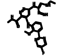 CCN/C=C(\N=N)Nc1cc(Nc2cccc(-c3ncc(F)cn3)c2OC)c(C(=O)NC)nn1